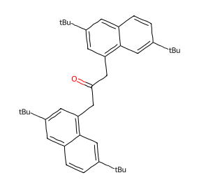 CC(C)(C)c1cc(CC(=O)Cc2cc(C(C)(C)C)cc3ccc(C(C)(C)C)cc23)c2cc(C(C)(C)C)ccc2c1